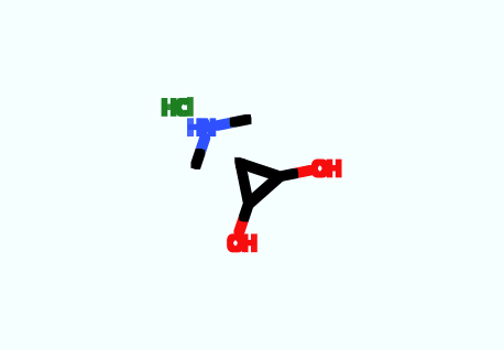 CNC.Cl.OC1CC1O